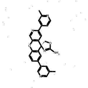 Cc1cncc(-c2ccc3c(c2)[C@@]2(COC(N)=N2)c2cc(-c4ccnc(C)c4)ncc2O3)c1